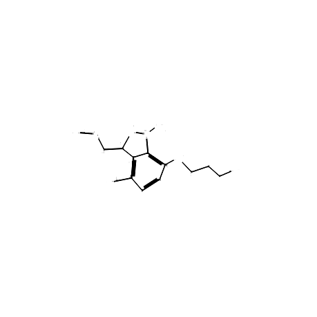 OCCCOc1ccc(Cl)c2c1B(O)OC2CNCl